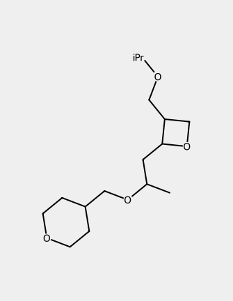 CC(C)OCC1COC1CC(C)OCC1CCOCC1